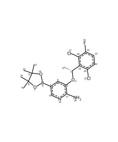 C[C@@H](Oc1cc(B2OC(C)(C)C(C)(C)O2)cnc1N)c1c(Cl)ccc(F)c1Cl